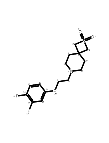 O=S1(=O)CC2(CCN(CCOc3ccc(F)c(F)c3)CC2)C1